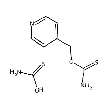 NC(=S)OCc1ccncc1.NC(O)=S